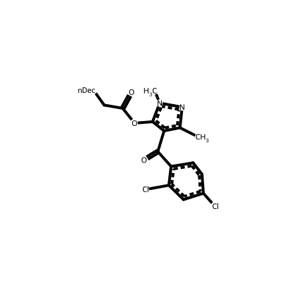 CCCCCCCCCCCC(=O)Oc1c(C(=O)c2ccc(Cl)cc2Cl)c(C)nn1C